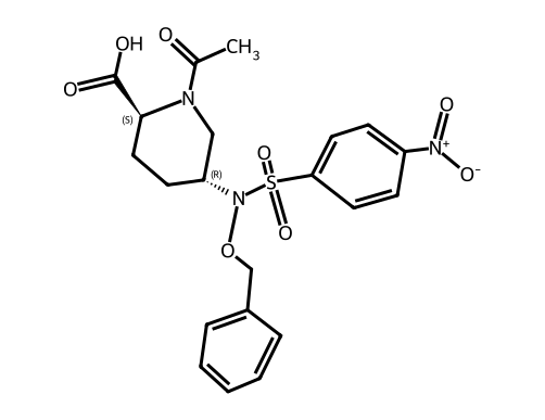 CC(=O)N1C[C@H](N(OCc2ccccc2)S(=O)(=O)c2ccc([N+](=O)[O-])cc2)CC[C@H]1C(=O)O